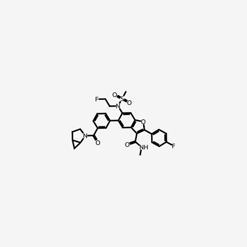 CNC(=O)c1c(-c2ccc(F)cc2)oc2cc(N(CCF)S(C)(=O)=O)c(-c3cccc(C(=O)N4CCC5CC54)c3)cc12